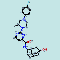 CC1CN(c2ccc(F)cc2)CCN1c1nccc(C(=O)NC2C3CC4CC2CC(O)(C4)C3)n1